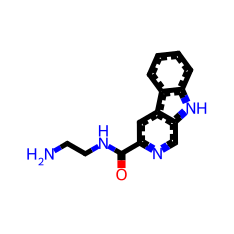 NCCNC(=O)c1cc2c(cn1)[nH]c1ccccc12